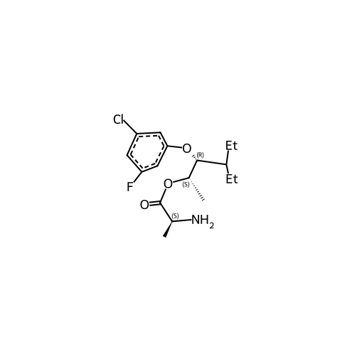 CCC(CC)[C@@H](Oc1cc(F)cc(Cl)c1)[C@H](C)OC(=O)[C@H](C)N